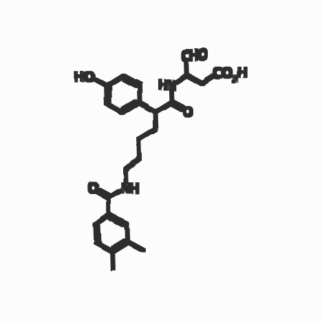 Cc1ccc(C(=O)NCCCCC(C(=O)NC(C=O)CC(=O)O)c2ccc(O)cc2)cc1C